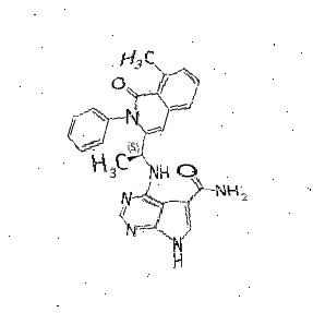 Cc1cccc2cc([C@H](C)Nc3ncnc4[nH]cc(C(N)=O)c34)n(-c3ccccc3)c(=O)c12